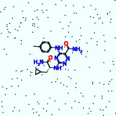 Cc1ccc(Nc2nc(N[C@H](CC3CC3)C(N)=O)nnc2C(N)=O)cc1